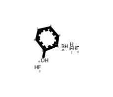 B.F.F.F.Oc1ccccc1